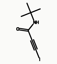 CC(C)(C)NC(=O)C#CI